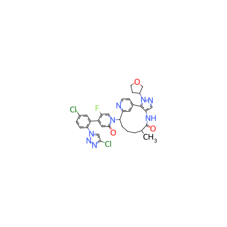 CC1CCCC(n2cc(F)c(-c3cc(Cl)ccc3-n3cc(Cl)nn3)cc2=O)c2cc(ccn2)-c2c(cnn2C2CCOC2)NC1=O